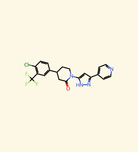 O=C1CC(c2ccc(Cl)c(C(F)(F)F)c2)CCN1c1cc(-c2ccncc2)n[nH]1